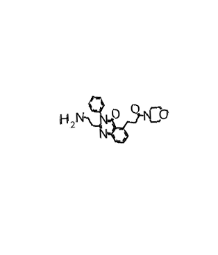 NCCc1nc2cccc(CCC(=O)N3CCOCC3)c2c(=O)n1-c1ccccc1